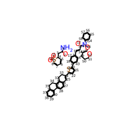 NC(=O)CC1C=CC=CS1(=O)=O.O=C(C=Cc1ccc(-c2ccc(C3=Cc4ccc5c(c4CC3)CCc3ccccc3-5)s2)cc1)N(OC1CCCCO1)c1ccccc1